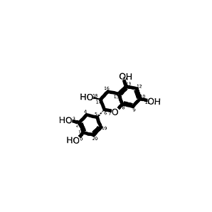 OC1=C(O)CC([C@H]2Oc3cc(O)cc(O)c3C[C@@H]2O)C=C1